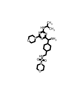 CC(C)Nc1nc(C(N)C2CCC(CNS(=O)(=O)N3CCOCC3)CC2)nc(N2CCOCC2)n1